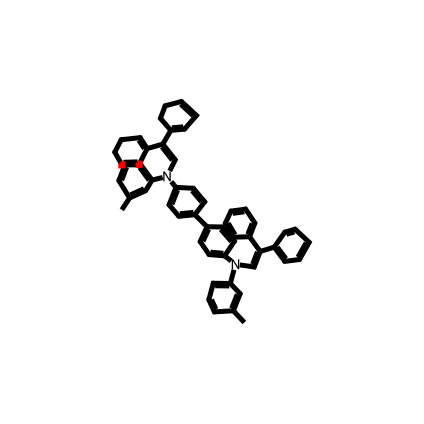 Cc1cccc(N(C=C(c2ccccc2)c2ccccc2)c2ccc(-c3ccc(N(/C=C(\C4=CCCC=C4)C4=CC=CCC4)c4cccc(C)c4)cc3)cc2)c1